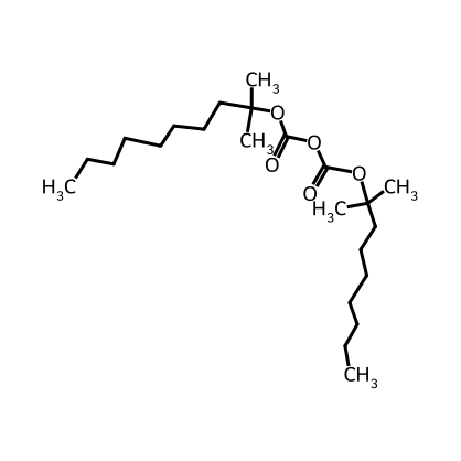 CCCCCCCCC(C)(C)OC(=O)OC(=O)OC(C)(C)CCCCCCC